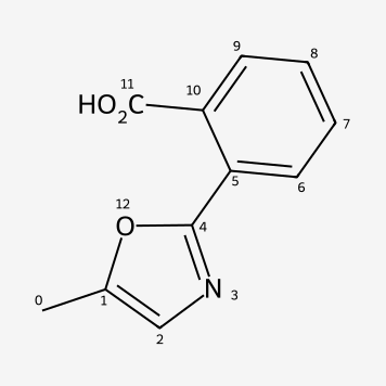 Cc1cnc(-c2ccccc2C(=O)O)o1